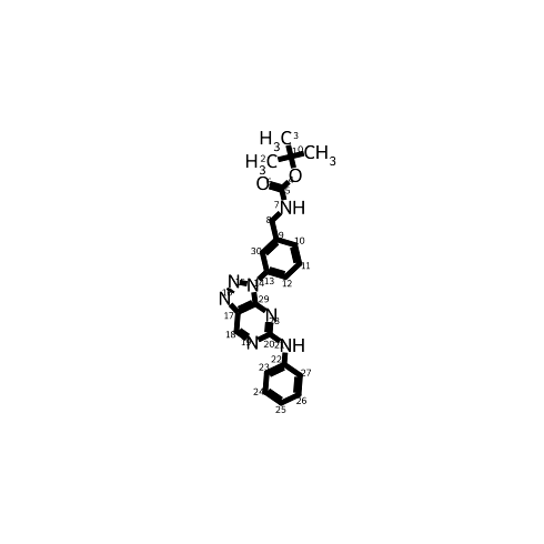 CC(C)(C)OC(=O)NCc1cccc(-n2nnc3cnc(Nc4ccccc4)nc32)c1